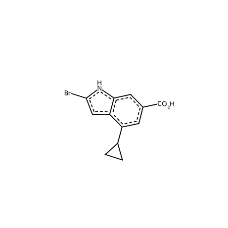 O=C(O)c1cc(C2CC2)c2cc(Br)[nH]c2c1